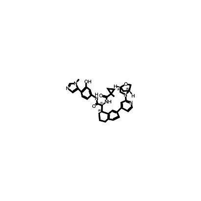 Cn1cncc1-c1ccc(NC(=O)[C@@H](NC(=O)C2(C)CC2)[C@@H]2CCCc3ccc(-c4ccnc(N5C[C@H]6C[C@@H]5CO6)c4)cc32)cc1O